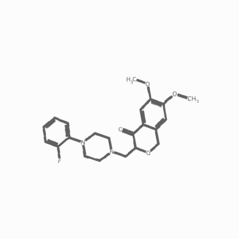 COc1cc2c(cc1OC)C(=O)C(CN1CCN(c3ccccc3F)CC1)OC2